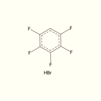 Br.Fc1cc(F)c(F)c(F)c1F